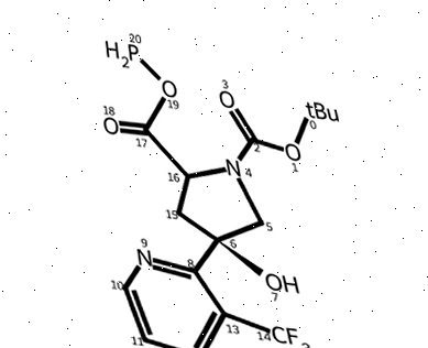 CC(C)(C)OC(=O)N1C[C@](O)(c2ncccc2C(F)(F)F)CC1C(=O)OP